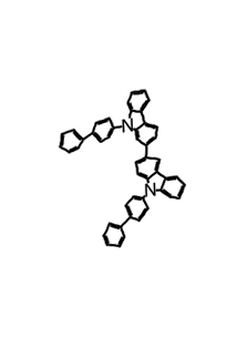 c1ccc(-c2ccc(-n3c4ccccc4c4cc(-c5ccc6c7ccccc7n(-c7ccc(-c8ccccc8)cc7)c6c5)ccc43)cc2)cc1